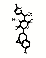 CCC(C1=C(O)C(=O)C(C(Cc2ccc(Br)cc2)CC2CC2)OC1=O)c1ccc(C)s1